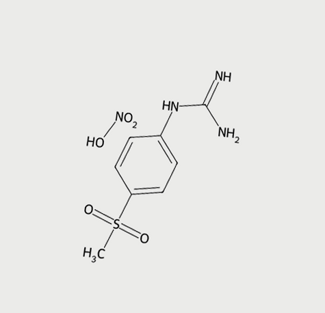 CS(=O)(=O)c1ccc(NC(=N)N)cc1.O=[N+]([O-])O